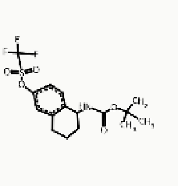 CC(C)(C)OC(=O)NC1CCCc2cc(OS(=O)(=O)C(F)(F)F)ccc21